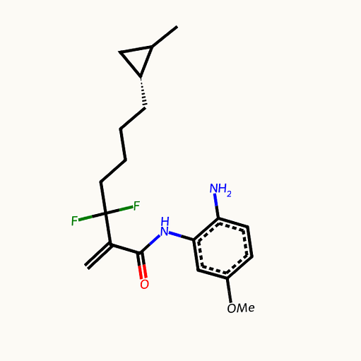 C=C(C(=O)Nc1cc(OC)ccc1N)C(F)(F)CCCC[C@@H]1CC1C